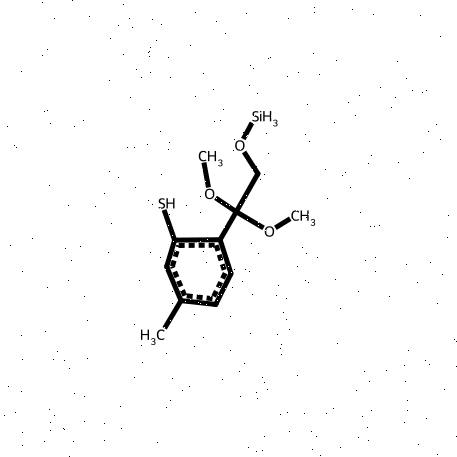 COC(CO[SiH3])(OC)c1ccc(C)cc1S